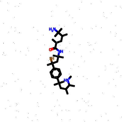 CNC(C)C(C)CC(C)(C)c1ccc(C(C)(S)CC(C)(C)NC(=O)C(C)CC(C)C(C)(C)N)cc1